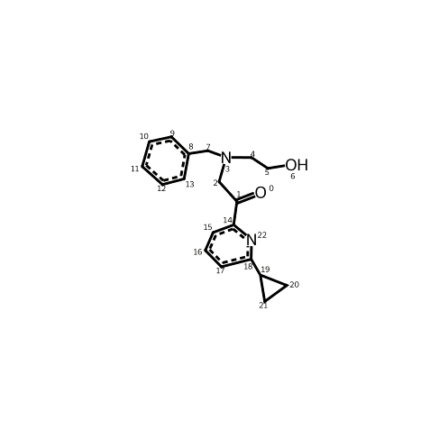 O=C(CN(CCO)Cc1ccccc1)c1cccc(C2CC2)n1